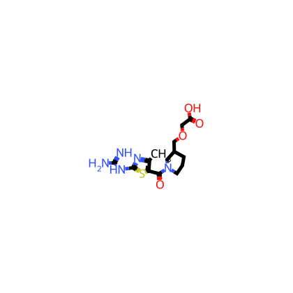 Cc1nc(NC(=N)N)sc1C(=O)N1CCCC(COCC(=O)O)C1